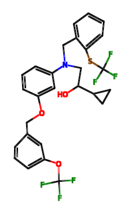 OC(CN(Cc1ccccc1SC(F)(F)F)c1cccc(OCc2cccc(OC(F)(F)F)c2)c1)C1CC1